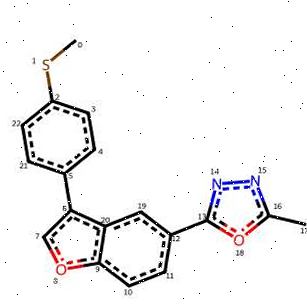 CSc1ccc(-c2coc3ccc(-c4nnc(C)o4)cc23)cc1